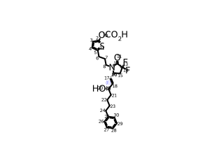 O=C(O)Oc1ccc(CCCN2C(=O)C(F)(F)C[C@@H]2/C=C/[C@@H](O)CCCCc2ccccc2)s1